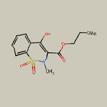 COCCOC(=O)C1=C(O)c2ccccc2S(=O)(=O)N1C